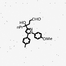 CCCC(O)(CCC=O)c1cc(-c2ccc(C)cc2)n(-c2ccc(OC)cc2)n1